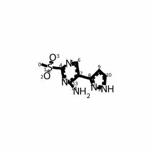 CS(=O)(=O)c1ncc(-c2cc[nH]n2)c(N)n1